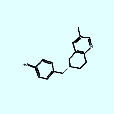 Cc1cnc2c(c1)C[C@@H](Cc1ccc(O)cc1)CC2